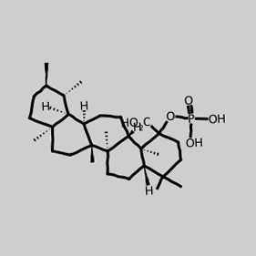 C[C@@H]1[C@H]2[C@H]3CC[C@@H]4[C@]5(C)[C@@H](CC[C@@]4(C)[C@]3(C)CC[C@@]2(C)CC[C@H]1C)C(C)(C)CCC5(OP(=O)(O)O)C(=O)O